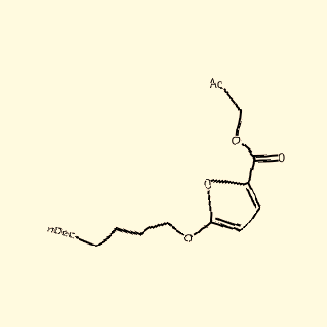 CCCCCCCCCCCCCCOc1ccc(C(=O)OCC(C)=O)o1